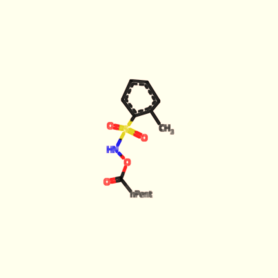 CCCCCC(=O)ONS(=O)(=O)c1ccccc1C